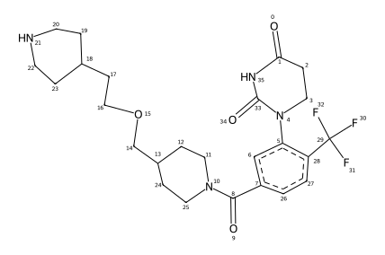 O=C1CCN(c2cc(C(=O)N3CCC(COCCC4CCNCC4)CC3)ccc2C(F)(F)F)C(=O)N1